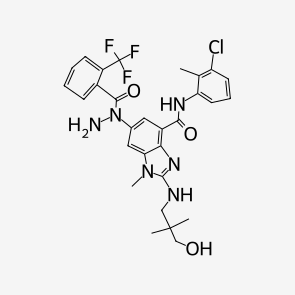 Cc1c(Cl)cccc1NC(=O)c1cc(N(N)C(=O)c2ccccc2C(F)(F)F)cc2c1nc(NCC(C)(C)CO)n2C